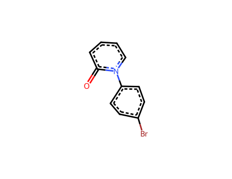 O=c1ccccn1-c1ccc(Br)cc1